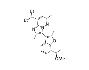 CCC(CC)c1cc(C)nn2c(-c3c(C)oc4c([C@@H](C)OC)cccc34)c(C)nc12